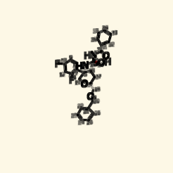 O=C(NC(=S)N[C@@]1(c2ccc(F)cc2F)CO[C@@H](COCc2ccccc2)C[C@H]1CO)c1ccccc1